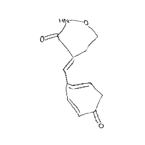 O=C1C=CC(C=C2CCONC2=O)=CC1